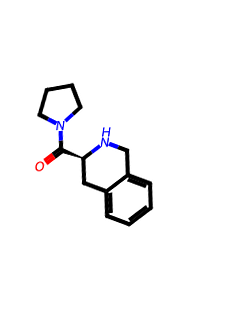 O=C([C@@H]1Cc2ccccc2CN1)N1CCCC1